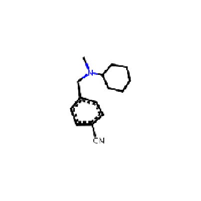 CN(Cc1ccc(C#N)cc1)C1CCCCC1